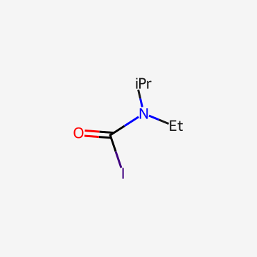 CCN(C(=O)I)C(C)C